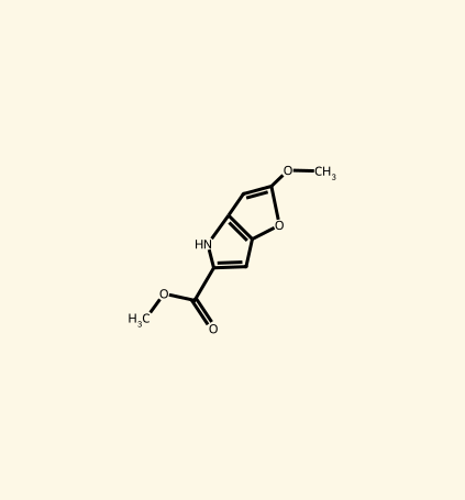 COC(=O)c1cc2oc(OC)cc2[nH]1